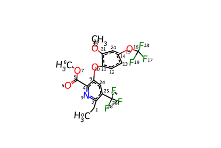 CCc1nc(C(=O)OC)c(Oc2ccc(OC(F)(F)F)cc2OC)cc1C(F)(F)F